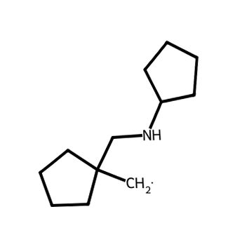 [CH2]C1(CNC2CCCC2)CCCC1